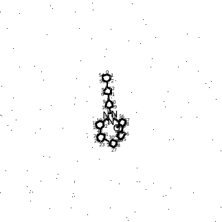 c1ccc(-c2ccc(-c3ccc(-c4nc(-c5cccc(-c6cccc(-c7ccccc7)c6)c5)nc(-c5cccc6c5oc5ccccc56)n4)cc3)cc2)cc1